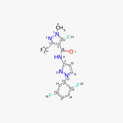 Cn1nc(C(F)(F)F)c(C(=O)Nc2ccn(-c3cc(F)ccc3F)n2)c1F